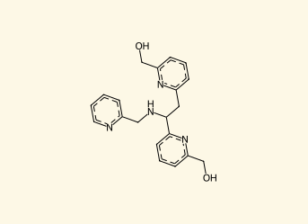 OCc1cccc(CC(NCc2ccccn2)c2cccc(CO)n2)n1